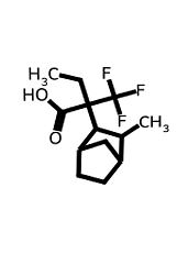 CCC(C(=O)O)(C1C2CCC(C2)C1C)C(F)(F)F